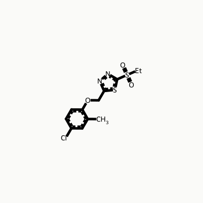 CCS(=O)(=O)c1nnc(COc2ccc(Cl)cc2C)s1